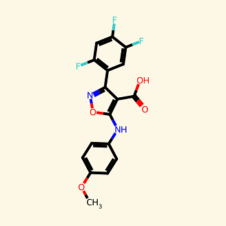 COc1ccc(Nc2onc(-c3cc(F)c(F)cc3F)c2C(=O)O)cc1